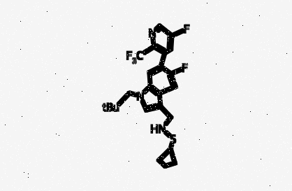 CC(C)(C)Cn1cc(CNSC2CCC2)c2cc(F)c(-c3cc(F)cnc3C(F)(F)F)cc21